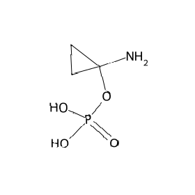 NC1(OP(=O)(O)O)CC1